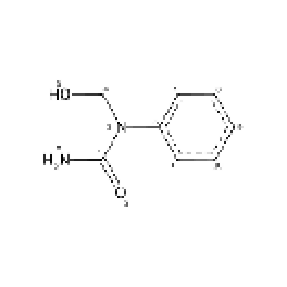 NC(=O)N(CO)c1ccccc1